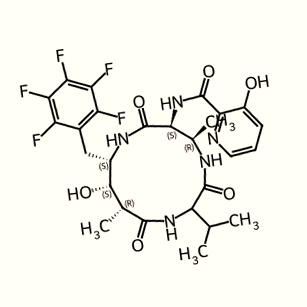 CC(C)C1NC(=O)[C@H](C)[C@H](O)[C@H](Cc2c(F)c(F)c(F)c(F)c2F)NC(=O)[C@@H](NC(=O)c2ncccc2O)[C@@H](C)NC1=O